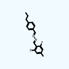 CCCc1ccc(/C=N/N=C/c2c(F)cc(C)cc2F)cc1